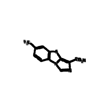 O=C(O)c1ncn2c1sc1cc(C(F)(F)F)ccc12